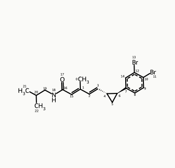 CC(/C=C/[C@H]1C[C@@H]1c1ccc(Br)c(Br)c1)=C\C(=O)NCC(C)C